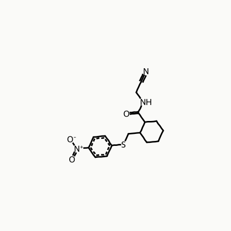 N#CCNC(=O)C1CCCCC1CSc1ccc([N+](=O)[O-])cc1